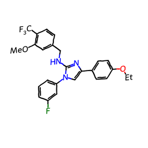 CCOc1ccc(-c2cn(-c3cccc(F)c3)c(NCc3ccc(C(F)(F)F)c(OC)c3)n2)cc1